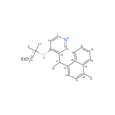 CCOC(=O)C(C)(C)Sc1ccncc1C(C)c1ccc(C)c2ccccc12